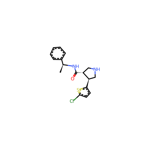 C[C@H](NC(=O)[C@@H]1CNC[C@H]1c1ccc(Cl)s1)c1ccccc1